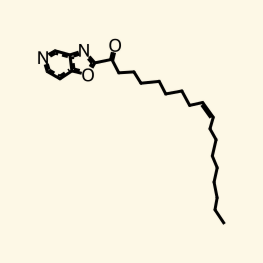 CCCCCCCC/C=C\CCCCCCCC(=O)c1nc2cnccc2o1